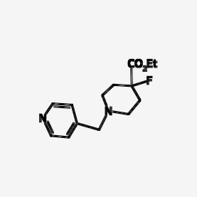 CCOC(=O)C1(F)CCN(Cc2ccncc2)CC1